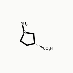 NN1CC[C@@H](C(=O)O)C1